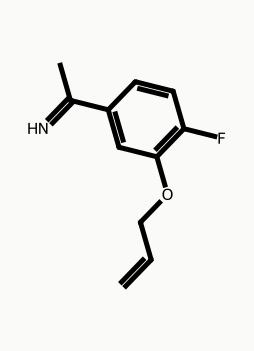 C=CCOc1cc(C(C)=N)ccc1F